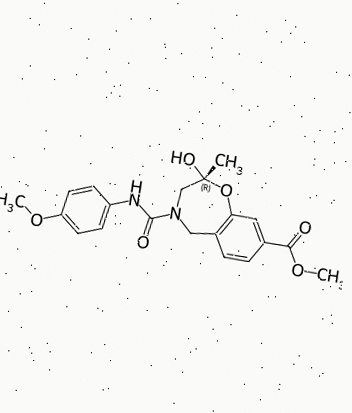 COC(=O)c1ccc2c(c1)O[C@@](C)(O)CN(C(=O)Nc1ccc(OC)cc1)C2